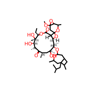 CC[C@H]1OC(=O)[C@H]2[C@@H](OC23CC2(OC)OC2C(C)O3)[C@H](C)[C@@H](OC2CC3CC(C)C3(CC(C)C)CC(C)O2)[C@@](C)(O)C[C@@H](C)C(=O)[C@H](C)[C@@H](O)[C@]1(C)O